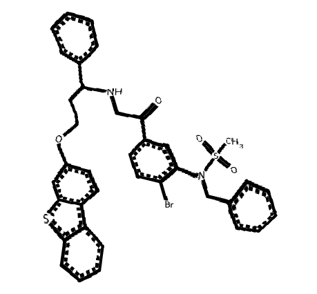 CS(=O)(=O)N(Cc1ccccc1)c1cc(C(=O)CNC(CCOc2ccc3c(c2)sc2ccccc23)c2ccccc2)ccc1Br